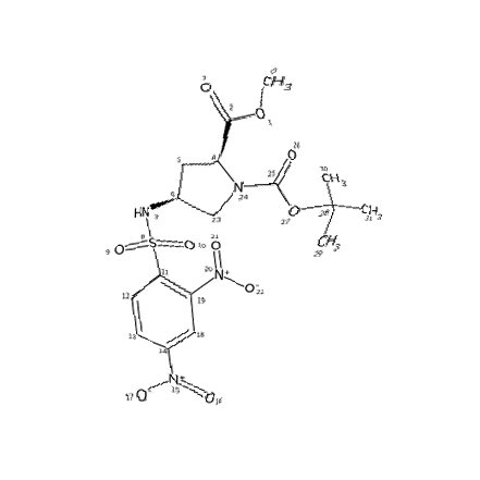 COC(=O)[C@@H]1C[C@H](NS(=O)(=O)c2ccc([N+](=O)[O-])cc2[N+](=O)[O-])CN1C(=O)OC(C)(C)C